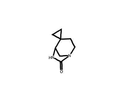 O=C1NC2CN1CCC21CC1